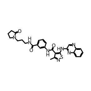 Cc1nsc(Nc2cnc3ccccc3n2)c1C(=O)Nc1cccc(C(=O)NCCCN2CCCC2=O)c1